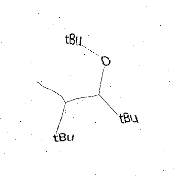 CC(C(OC(C)(C)C)C(C)(C)C)C(C)(C)C